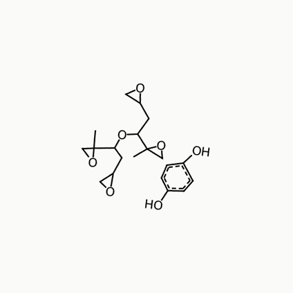 CC1(C(CC2CO2)OC(CC2CO2)C2(C)CO2)CO1.Oc1ccc(O)cc1